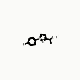 CC(O)c1ccn(-c2ccc(F)cc2)n1